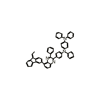 C/C=C1/c2ccccc2-c2cc(-c3cccc4nc(-c5ccc(N(c6ccccc6)c6ccc(N(c7ccccc7)c7ccccc7)cc6)cc5)c(-c5ccccc5)nc34)ccc21